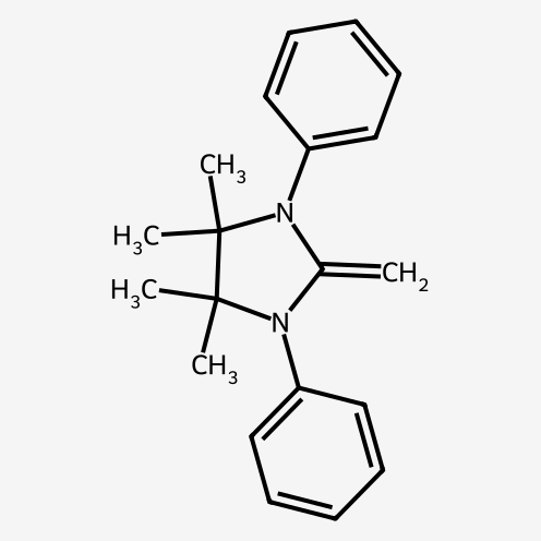 C=C1N(c2ccccc2)C(C)(C)C(C)(C)N1c1ccccc1